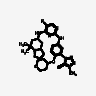 Cn1nnn(-c2cc(Nc3ncc(F)c(NC4CC5CCCN5C(C)(C)C4)n3)ccc2OC2CCOCC2)c1=O